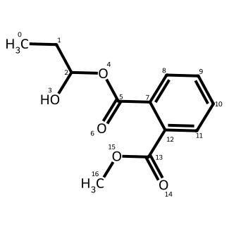 CCC(O)OC(=O)c1ccccc1C(=O)OC